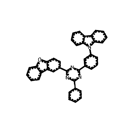 c1ccc(-c2nc(-c3cccc(-n4c5ccccc5c5ccccc54)c3)nc(-c3ccc4oc5ccccc5c4c3)n2)cc1